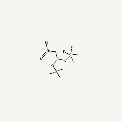 CC[Si](=O)CP(O[Si](C)(C)C)OP(F)(F)(F)F